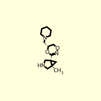 C[C@]12CNC[C@@]1(C1=NOC[C@@H](CN3CCCCC3)O1)C2